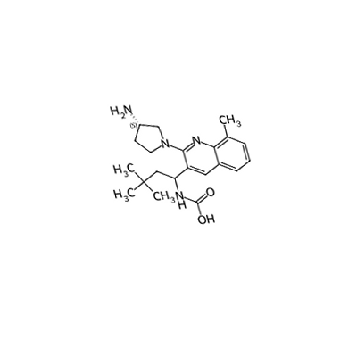 Cc1cccc2cc(C(CC(C)(C)C)NC(=O)O)c(N3CC[C@H](N)C3)nc12